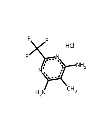 Cc1c(N)nc(C(F)(F)F)nc1N.Cl